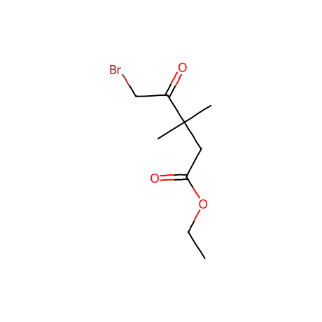 CCOC(=O)CC(C)(C)C(=O)CBr